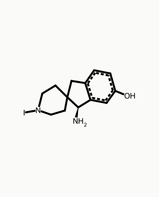 N[C@@H]1c2cc(O)ccc2CC12CCN(I)CC2